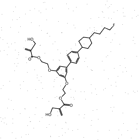 C=C(CO)C(=O)OCCOc1cc(OCCOC(=O)C(=C)CO)cc(-c2ccc(C3CCC(CCCCF)CC3)cc2)c1